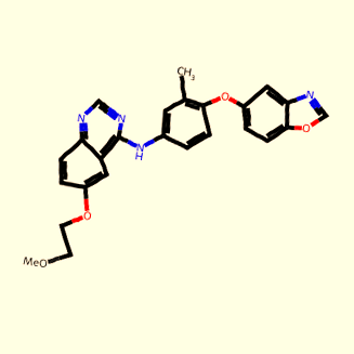 COCCOc1ccc2ncnc(Nc3ccc(Oc4ccc5ocnc5c4)c(C)c3)c2c1